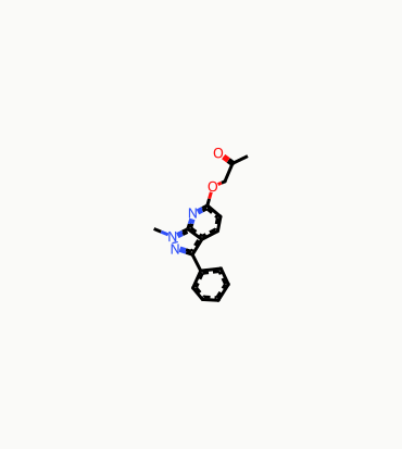 CC(=O)COc1ccc2c(-c3ccccc3)nn(C)c2n1